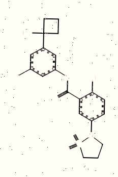 CC1(c2cc(Cl)cc(NC(=O)c3cc(N4CCCS4(=O)=O)ccc3Cl)c2)CCC1